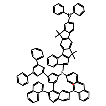 CC1(C)c2cc(N(c3ccccc3)c3ccccc3)ccc2-c2cc3c(cc21)-c1c(cc(N(c2ccccc2)c2cc(-c4cc(-c5ccccc5)cc(-c5ccccc5)c4)cc(-c4c(-c5cccc6ccccc56)ccc5ccc(-c6cccc7ccccc67)cc45)c2)c2ccccc12)C3(C)C